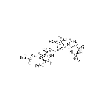 CC(C)OC(=O)[C@H](C)N[P@@](=O)(OCCSC(=O)C(C)(C)C)OC[C@H]1O[C@@H](n2cnc3c(=O)[nH]c(N)nc32)[C@@](F)(Cl)[C@@H]1O